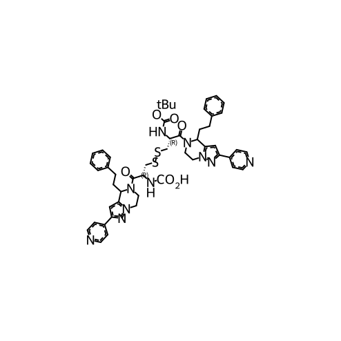 CC(C)(C)OC(=O)N[C@@H](CSSC[C@H](NC(=O)O)C(=O)N1CCn2nc(-c3ccncc3)cc2C1CCc1ccccc1)C(=O)N1CCn2nc(-c3ccncc3)cc2C1CCc1ccccc1